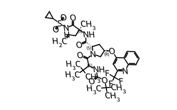 C=CC[C@](C)(NC(=O)[C@@H]1C[C@@H](Oc2cc(C(F)(F)F)nc3ccccc23)CN1C(=O)[C@@H](NC(=O)OC(C)(C)C)C(C)(C)C)C(=O)NS(=O)(=O)C1CC1